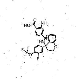 Nc1cc(C(=O)NC2(c3ccc(OC(F)(F)F)c(F)c3)CCOc3cccnc32)ccc1C(=O)O